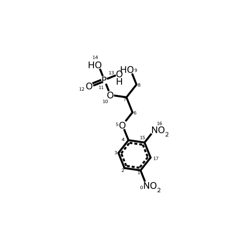 O=[N+]([O-])c1ccc(OCC(CO)OP(=O)(O)O)c([N+](=O)[O-])c1